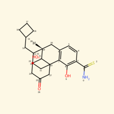 NC(=S)c1ccc2c(c1O)C13CCC(CC4CCC4)[C@H](C2)[C@]1(O)CCC(=O)C3